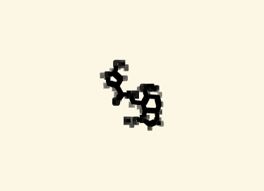 COc1ccc2ncn(C)c2c1CNC(=O)c1csc(C)c1